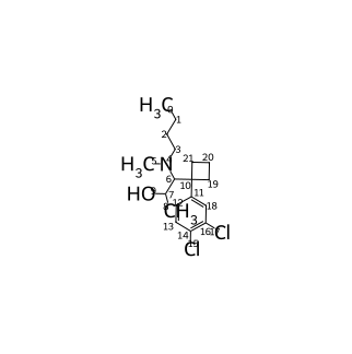 CCCCN(C)C(C(C)O)C1(c2ccc(Cl)c(Cl)c2)CCC1